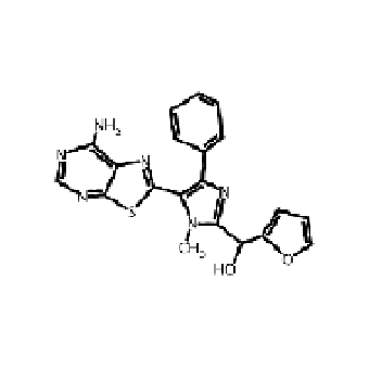 Cn1c(C(O)c2ccco2)nc(-c2ccccc2)c1-c1nc2c(N)ncnc2s1